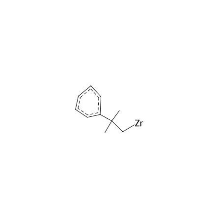 CC(C)([CH2][Zr])c1ccccc1